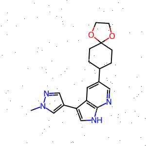 Cn1cc(-c2c[nH]c3ncc(C4CCC5(CC4)OCCO5)cc23)cn1